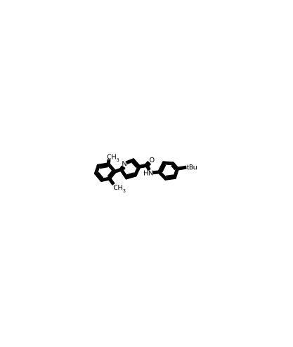 Cc1cccc(C)c1-c1ccc(C(=O)Nc2ccc(C(C)(C)C)cc2)cn1